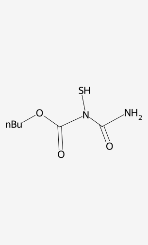 CCCCOC(=O)N(S)C(N)=O